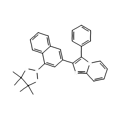 CC1(C)OB(c2cc(-c3nc4ccccn4c3-c3ccccc3)cc3ccccc23)OC1(C)C